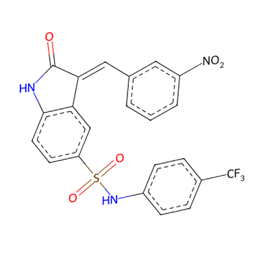 O=C1Nc2ccc(S(=O)(=O)Nc3ccc(C(F)(F)F)cc3)cc2C1=Cc1cccc([N+](=O)[O-])c1